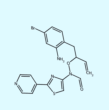 C=CC(Cc1ccc(Br)cc1N)ON(C=O)c1csc(-c2ccncc2)n1